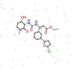 CCOC(=O)C[C@H](NC(=O)Nc1c(O)ccn(C)c1=O)c1cccc(-c2ccc(Cl)s2)c1